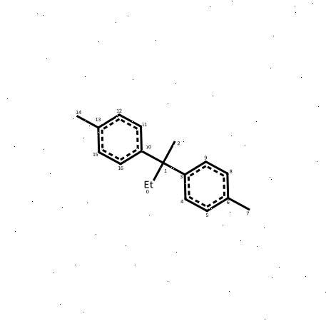 CCC(C)(c1ccc(C)cc1)c1ccc(C)cc1